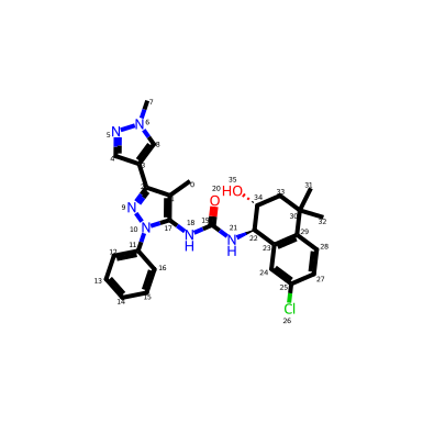 Cc1c(-c2cnn(C)c2)nn(-c2ccccc2)c1NC(=O)N[C@@H]1c2cc(Cl)ccc2C(C)(C)C[C@H]1O